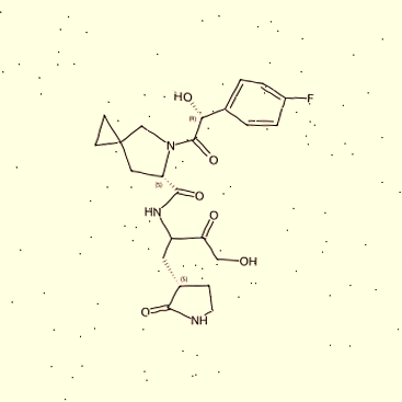 O=C(CO)C(C[C@@H]1CCNC1=O)NC(=O)[C@@H]1CC2(CC2)CN1C(=O)[C@H](O)c1ccc(F)cc1